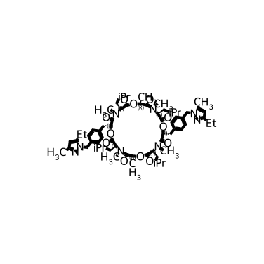 CCc1cc(C)n(Cc2ccc(C[C@H]3OC(=O)[C@H](CC(C)C)N(C)C(=O)[C@@H](C)OC(=O)[C@H](CC(C)C)N(C)C(=O)[C@@H](Cc4ccc(Cn5nc(C)cc5CC)cc4)OC(=O)[C@H](CC(C)C)N(C)C(=O)[C@@H](C)OC(=O)[C@H](CC(C)C)N(C)C3=O)cc2)n1